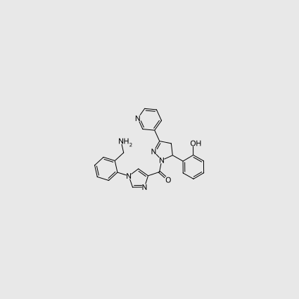 NCc1ccccc1-n1cnc(C(=O)N2N=C(c3cccnc3)CC2c2ccccc2O)c1